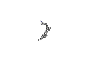 C/C=C/C(=O)COc1cccc(OCc2cc3c(Oc4ccc(NC(=O)NC(=O)Cc5ccc(F)cc5)cc4F)ccnc3[nH]2)c1